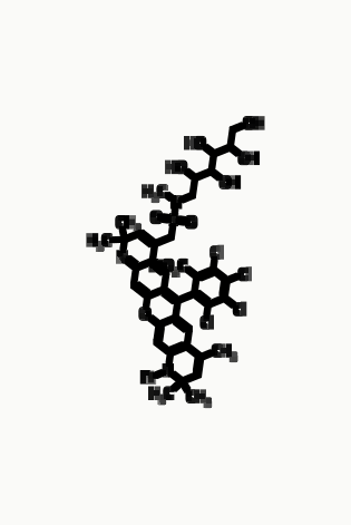 CCOC(=O)c1c(Cl)c(Cl)c(Cl)c(Cl)c1C1=c2cc3c(cc2Oc2cc4c(cc21)C(C)=CC(C)(C)N4CC)=NC(C)(C)C=C3CS(=O)(=O)N(C)CC(O)C(O)C(O)C(O)CO